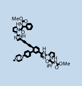 COC(=O)N[C@H](C(=O)N1CCC[C@H]1c1ncc(-c2ccc(C#CC#Cc3cnc([C@@H]4CCCN4C(=O)[C@H](NC(=O)OC)c4ccccc4)[nH]3)c(-c3ccc(N4CCN(C)CC4)cc3)c2)[nH]1)C(C)C